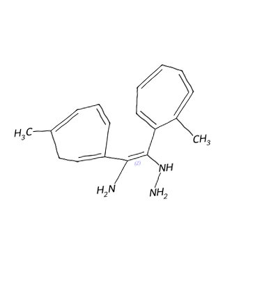 CC1=C=CC=CC=C1/C(NN)=C(/N)C1=CCC(C)=CC=C1